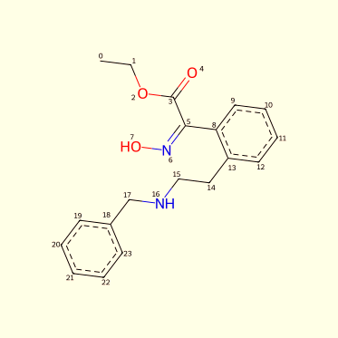 CCOC(=O)C(=NO)c1ccccc1CCNCc1ccccc1